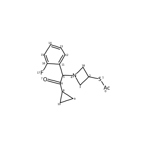 CC(=O)SC1CN(C(C(=O)C2CC2)c2ccccc2F)C1